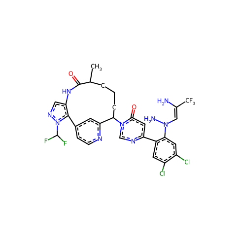 CC1CCCC(n2cnc(-c3cc(Cl)c(Cl)cc3N(N)/C=C(\N)C(F)(F)F)cc2=O)c2cc(ccn2)-c2c(cnn2C(F)F)NC1=O